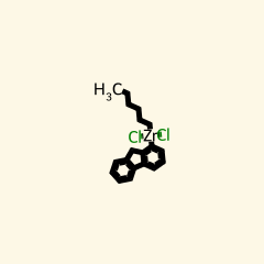 CCCCC[CH2][Zr]([Cl])([Cl])[c]1cccc2c1Cc1ccccc1-2